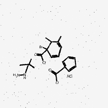 CC(C)(C)NN.CC1=CC=CC(Br)(C(=O)Cl)C1C.Cl.O=C(Cl)c1ccccc1